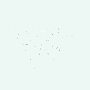 CONC(=O)c1c(C)c(C(O[SiH2]C(C)(C)C)(c2ccccc2)c2ccccc2)c(N2CC(C)OC(C)C2)c(F)c1F